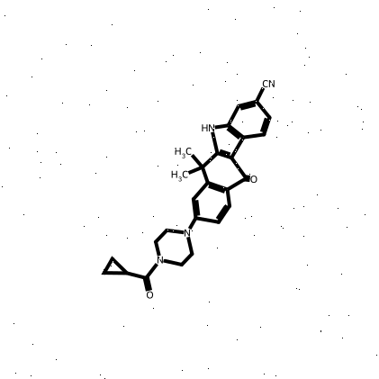 CC1(C)c2cc(N3CCN(C(=O)C4CC4)CC3)ccc2C(=O)c2c1[nH]c1cc(C#N)ccc21